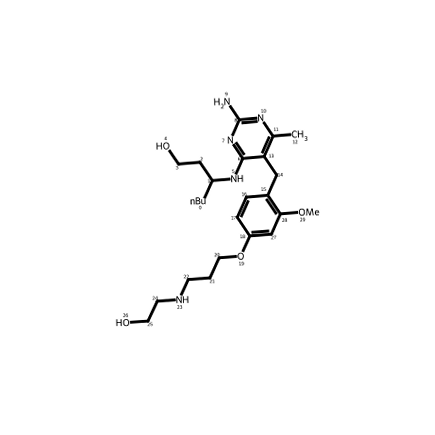 CCCCC(CCO)Nc1nc(N)nc(C)c1Cc1ccc(OCCCNCCO)cc1OC